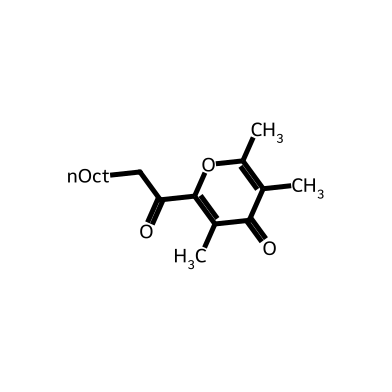 CCCCCCCCCC(=O)c1oc(C)c(C)c(=O)c1C